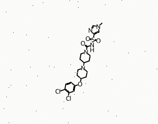 Cn1cnc(S(=O)(=O)NC(=O)N2CCC(N3CCC(Oc4ccc(Cl)c(Cl)c4)CC3)CC2)c1